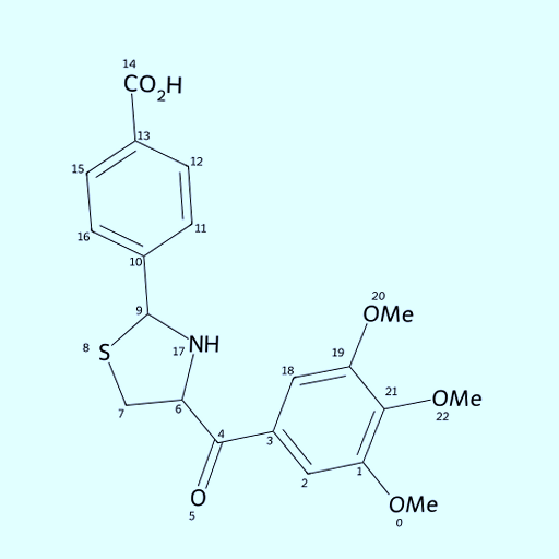 COc1cc(C(=O)C2CSC(c3ccc(C(=O)O)cc3)N2)cc(OC)c1OC